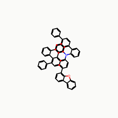 c1ccc(-c2ccc(-c3ccccc3N(c3ccc(-c4cccc5c4oc4ccccc45)cc3)c3ccccc3-c3cccc(-c4ccccc4)c3-c3ccccc3-c3ccccc3)cc2)cc1